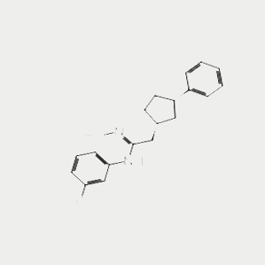 ON=C(C[C@H]1CC[C@@H](c2ccccc2)C1)Nc1cccc(Cl)c1